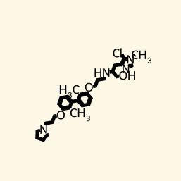 Cc1c(OCCCNC(CO)Cc2ncn(C)c2Cl)cccc1-c1cccc(OCCCN2CCCC2)c1C